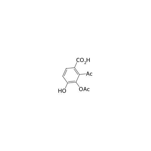 CC(=O)Oc1c(O)ccc(C(=O)O)c1C(C)=O